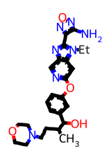 CCn1c(-c2nonc2N)nc2cnc(Oc3cccc(C(O)C(C)CCN4CCOCC4)c3)cc21